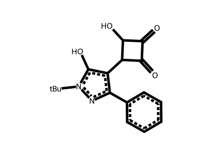 CC(C)(C)n1nc(-c2ccccc2)c(C2C(=O)C(=O)C2O)c1O